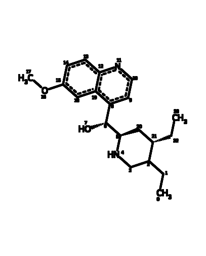 CCC1CN[C@@H]([C@H](O)c2ccnc3ccc(OC)cc23)C[C@@H]1CC